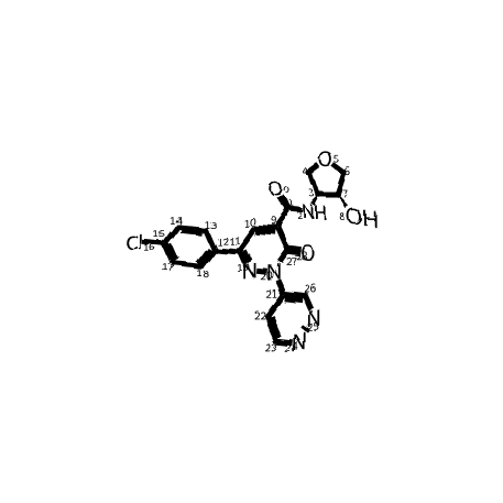 O=C(N[C@H]1COC[C@H]1O)c1cc(-c2ccc(Cl)cc2)nn(-c2ccnnc2)c1=O